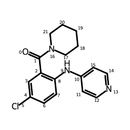 O=C(c1cc(Cl)ccc1Nc1ccncc1)N1CCCCC1